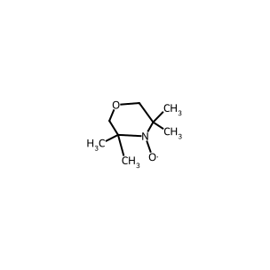 CC1(C)COCC(C)(C)N1[O]